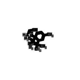 CC1=CC(C(C)(C)C)C(O)(C(C)(C)C)C=C1.CCO